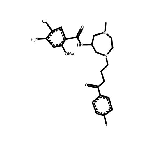 COc1cc(N)c(Cl)cc1C(=O)NC1CN(C)CCN(CCCC(=O)c2ccc(F)cc2)C1